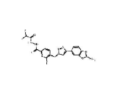 Nc1nc2ccc(-c3cn(Cc4ccc(C(=O)NNC(=O)C(F)F)cc4F)nn3)cc2s1